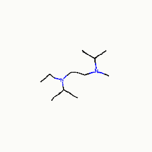 CCN(CCN(C)C(C)C)C(C)C